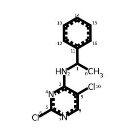 CC(Nc1nc(Cl)ncc1Cl)c1ccccc1